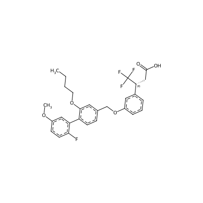 CCCCOc1cc(COc2cccc([C@@H](CC(=O)O)C(F)(F)F)c2)ccc1-c1cc(OC)ccc1F